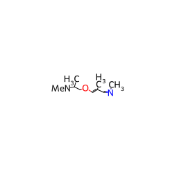 C/N=C\C(C)=C\OCC(C)NC